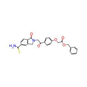 NC(=S)c1ccc2c(c1)CN(CC(=O)c1ccc(OCC(=O)OCc3ccccc3)cc1)C2=O